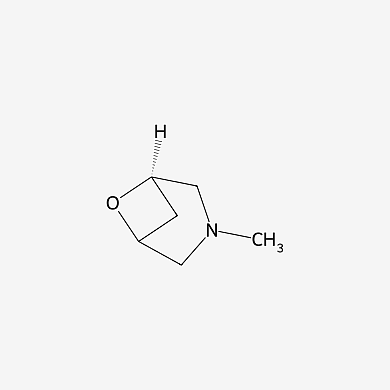 CN1CC2C[C@H](C1)O2